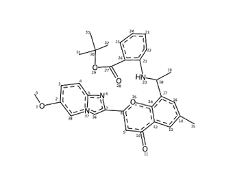 COc1ccc2nc(-c3cc(=O)c4cc(C)cc(C(C)Nc5ccccc5C(=O)OC(C)(C)C)c4o3)cn2c1